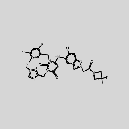 Cn1cnc(Cn2c(=O)nc(Nc3cc4cn(CC(=O)N5CC(F)(F)C5)nc4cc3Cl)n(Cc3cc(Cl)c(F)cc3F)c2=O)n1